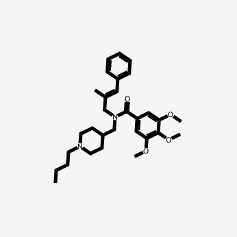 CCCCN1CCC(CN(CC(C)=Cc2ccccc2)C(=O)c2cc(OC)c(OC)c(OC)c2)CC1